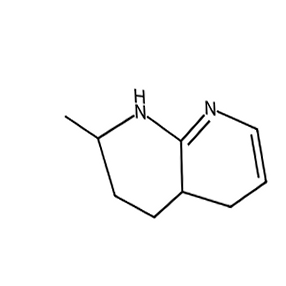 CC1CCC2CC=CN=C2N1